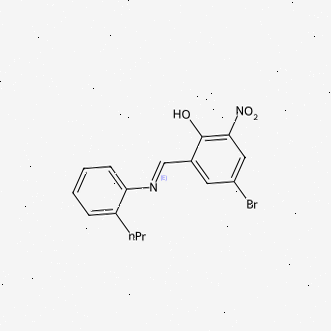 CCCc1ccccc1/N=C/c1cc(Br)cc([N+](=O)[O-])c1O